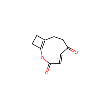 O=C1/C=C/C(=O)OC2=C(CC1)CC2